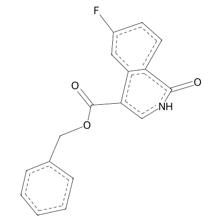 O=C(OCc1ccccc1)c1c[nH]c(=O)c2ccc(F)cc12